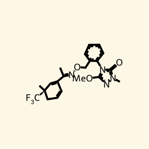 COc1nn(C)c(=O)n1-c1ccccc1CO/N=C(\C)C1=C[C@](C)(C(F)(F)F)CC=C1